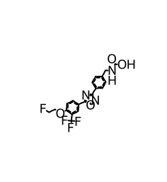 O=C(O)NCc1ccc(-c2noc(-c3ccc(OCCF)c(C(F)(F)F)c3)n2)cc1